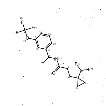 CC(NC(=O)CCC1(C(F)F)CC1)c1cccc(OC(F)(F)F)c1